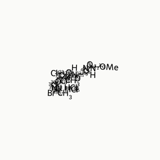 COCCCNC(=O)c1ccc(C=CC(=O)NCC(=O)N(C)c2ccc(Cl)c(COc3cccn4c(Br)c(C)nc34)c2Cl)cn1.Cl.Cl